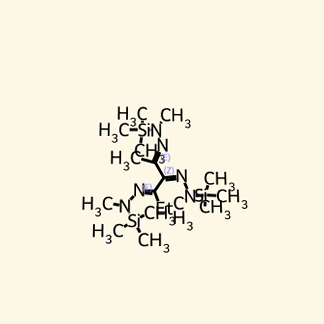 CCC(=N\N(C)[Si](C)(C)C)/C(=N\N(C)[Si](C)(C)C)C(/C)=N/N(C)[Si](C)(C)C